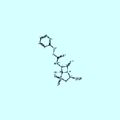 O=C(COc1ccccc1)NC1C(=O)N2C(C(=O)O)CS(=O)(=O)[C@@H]12